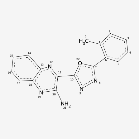 Cc1ccccc1-c1nnc(-c2nc3ccccc3nc2N)o1